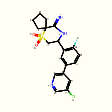 N=C1NC(c2cc(-c3cncc(Cl)c3)ccc2F)CS(=O)(=O)C12CCCC2